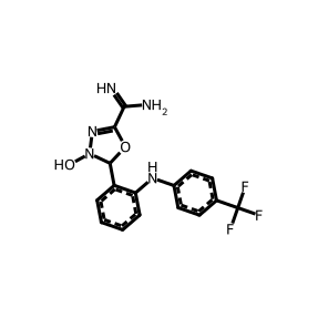 N=C(N)C1=NN(O)C(c2ccccc2Nc2ccc(C(F)(F)F)cc2)O1